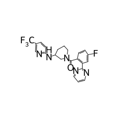 O=C(c1ccc(F)cc1-c1ncccn1)N1CCCC(Nc2ccc(C(F)(F)F)cn2)C1